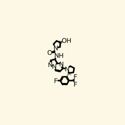 O=C(NC1C=NN2C=CC(N3CCC[C@@H]3c3cc(F)ccc3C(F)F)=NC12)N1CC[C@@H](O)C1